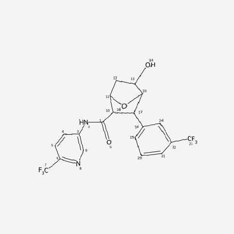 O=C(Nc1ccc(C(F)(F)F)nc1)C1C2CC(O)C(O2)C1c1cccc(C(F)(F)F)c1